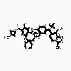 Cc1ccc([C@H](c2ccn3c(C(F)(F)F)nnc3c2C)C(C)(C)C(=O)O)cc1CN1CC2(CCOCC2)Oc2nc(N[C@H]3C[C@@H](O)C3)c(C)cc2S1(=O)=O